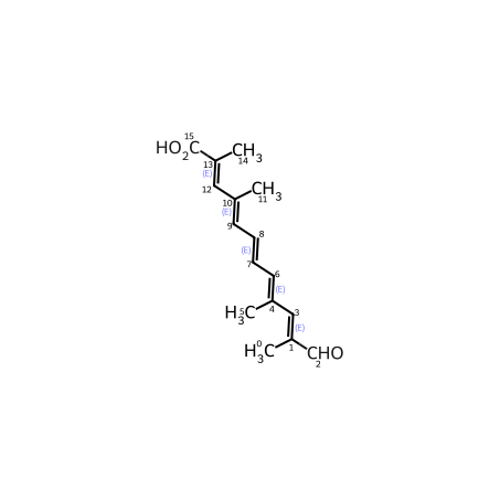 C\C(C=O)=C/C(C)=C/C=C/C=C(C)/C=C(\C)C(=O)O